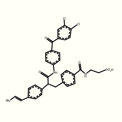 CC(C)(C)/C=C/c1ccc(C(Cc2ccc(C(=O)NCCS(=O)(=O)O)cc2)C(=O)Nc2ccc(C(=O)c3ccc(Cl)c(Cl)c3)cc2)cc1